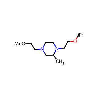 COCCN1CCN(CCOC(C)C)[C@@H](C)C1